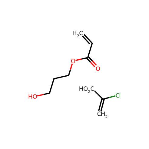 C=C(Cl)C(=O)O.C=CC(=O)OCCCO